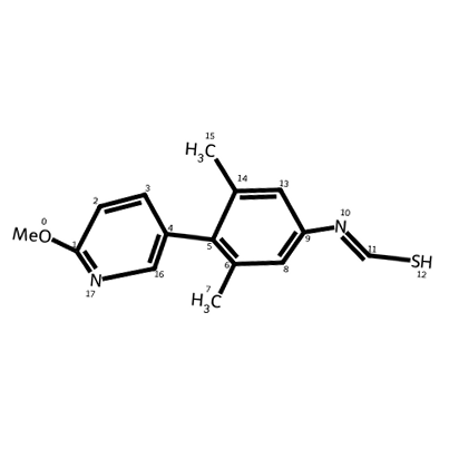 COc1ccc(-c2c(C)cc(N=CS)cc2C)cn1